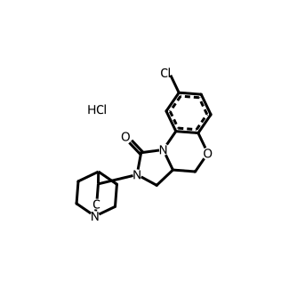 Cl.O=C1N(C2CN3CCC2CC3)CC2COc3ccc(Cl)cc3N12